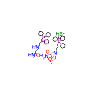 Br.CN(CCCC[PH](c1ccccc1)(c1ccccc1)c1ccccc1)CC(C(N)=O)C(=O)OC(C)(C)C.CNC(=O)CCNCCCC[PH](c1ccccc1)(c1ccccc1)c1ccccc1